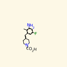 Cc1c(N)cc(F)cc1C=C1CCN(C(=O)O)CC1